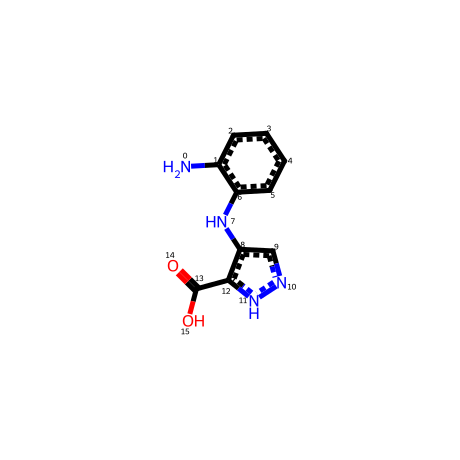 Nc1ccccc1Nc1cn[nH]c1C(=O)O